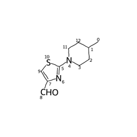 CC1CCN(c2nc(C=O)cs2)CC1